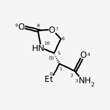 CCC(C(N)=O)[C@H]1COC(=O)N1